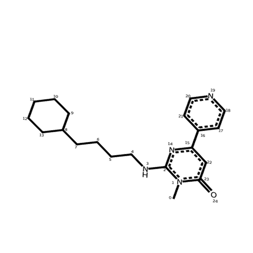 Cn1c(NCCCCC2CCCCC2)nc(-c2ccncc2)cc1=O